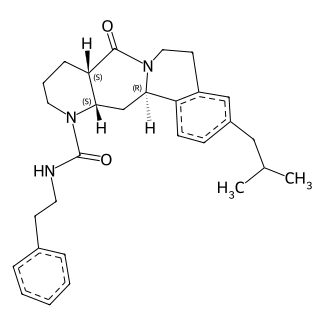 CC(C)Cc1ccc2c(c1)CCN1C(=O)[C@H]3CCCN(C(=O)NCCc4ccccc4)[C@H]3C[C@H]21